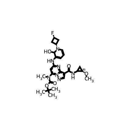 CO[C@@H]1CC1NC(=O)c1cnn2c(N(C)C(=O)OC(C)(C)C)cc(NC3=CC=CN([C@H]4C[C@H](F)C4)C3O)nc12